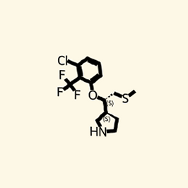 CSC[C@@H](Oc1cccc(Cl)c1C(F)(F)F)[C@H]1CCNC1